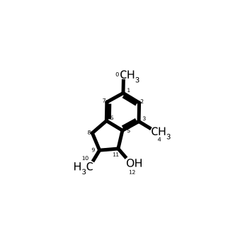 Cc1cc(C)c2c(c1)CC(C)C2O